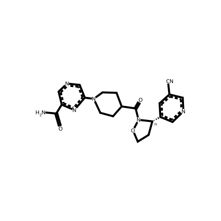 N#Cc1cncc([C@@H]2CCON2C(=O)C2CCN(c3cncc(C(N)=O)n3)CC2)c1